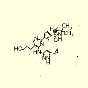 CC(C)(C)NS(=O)(=O)c1ccc(-c2ncc(CCCO)c(Nc3cc(C4CC4)[nH]n3)n2)s1